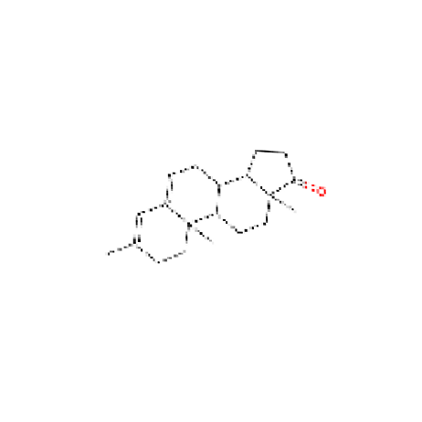 CC1=CC2=CCC3C4CCC(=O)C4(C)CCC3C2(C)CC1